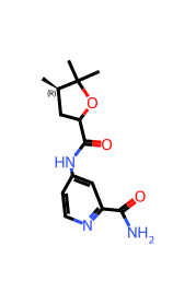 C[C@@H]1CC(C(=O)Nc2ccnc(C(N)=O)c2)OC1(C)C